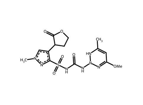 COC1=NN(NC(=O)NS(=O)(=O)c2nn(C)cc2C2CCOC2=O)NC(C)=C1